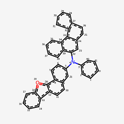 c1ccc(N(c2ccc3c(ccc4c5ccccc5oc34)c2)c2cc3ccc4ccccc4c3c3ccccc23)cc1